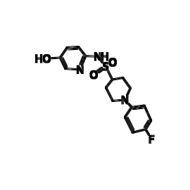 O=S(=O)(Nc1ccc(O)cn1)C1CCN(c2ccc(F)cc2)CC1